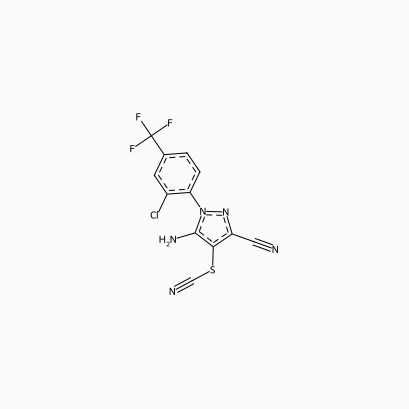 N#CSc1c(C#N)nn(-c2ccc(C(F)(F)F)cc2Cl)c1N